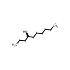 [CH2]CCC(=N)CCCCCC